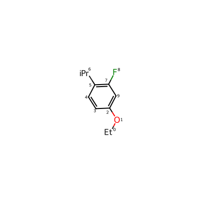 CCOc1ccc(C(C)C)c(F)c1